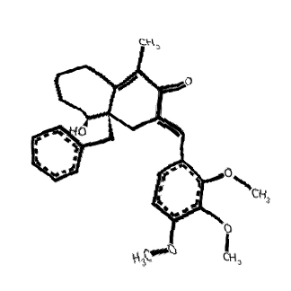 COc1ccc(C=C2C[C@@]3(Cc4ccccc4)C(=C(C)C2=O)CCC[C@@H]3O)c(OC)c1OC